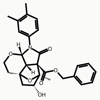 Cc1ccc(N2C(=O)[C@@]3(C(=O)OCc4ccccc4)[C@H]4[C@@H]2OCC[C@]42C[C@@H](O)[C@@]3(C)O2)cc1C